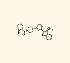 Cn1c(-c2cccc(N3CCN(C(=O)C4COCCN4)CC3)c2)nc2ccccc21